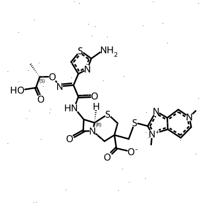 C[C@H](ON=C(C(=O)NC1C(=O)N2CC(CSc3nc4cn(C)ccc-4[n+]3C)(C(=O)[O-])CS[C@H]12)c1csc(N)n1)C(=O)O